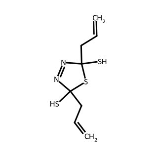 C=CCC1(S)N=NC(S)(CC=C)S1